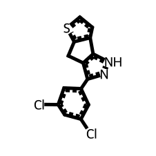 Clc1cc(Cl)cc(-c2n[nH]c3c2Cc2sccc2-3)c1